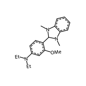 CCN(CC)c1ccc(C2N(C)c3ccccc3N2C)c(OC)c1